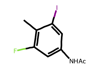 CC(=O)Nc1cc(F)c(C)c(I)c1